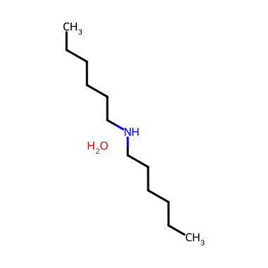 CCCCCCNCCCCCC.O